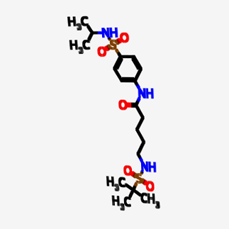 CC(C)NS(=O)(=O)c1ccc(NC(=O)CCCCNS(=O)(=O)C(C)(C)C)cc1